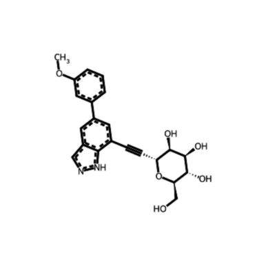 COc1cccc(-c2cc(C#C[C@H]3O[C@H](CO)[C@@H](O)[C@H](O)[C@@H]3O)c3[nH]ncc3c2)c1